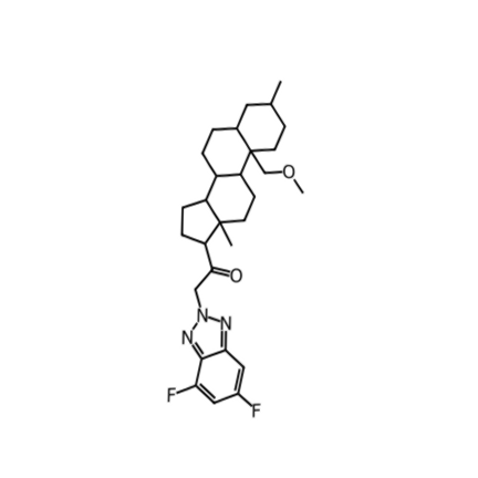 COCC12CCC(C)CC1CCC1C3CCC(C(=O)Cn4nc5cc(F)cc(F)c5n4)C3(C)CCC12